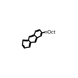 CCCCCCCCc1c[c]c2cc3ccccc3cc2c1